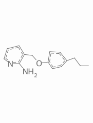 CCCc1ccc(OCc2cccnc2N)cc1